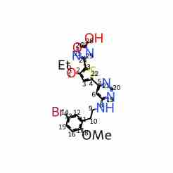 CCOc1cc(-c2cc(NCCc3cc(Br)ccc3OC)ncn2)sc1-c1noc(O)n1